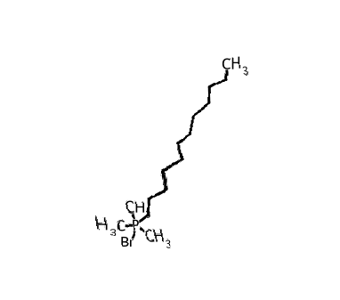 CCCCCCCCCCCCP(C)(C)(C)Br